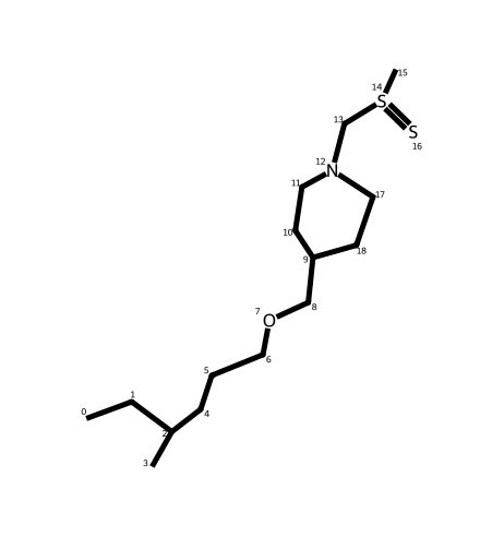 CCC(C)CCCOCC1CCN(CS(C)=S)CC1